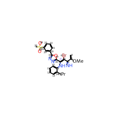 C=C(OC)C(=N)/C(Br)=C(\Nc1ccccc1C(C)C)c1nnc(-c2cccc(S(C)(=O)=O)c2)o1